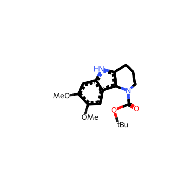 COc1cc2[nH]c3c(c2cc1OC)N(C(=O)OC(C)(C)C)CCC3